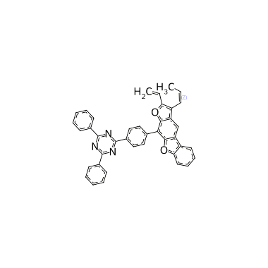 C=Cc1oc2c(-c3ccc(-c4nc(-c5ccccc5)nc(-c5ccccc5)n4)cc3)c3oc4ccccc4c3cc2c1/C=C\C